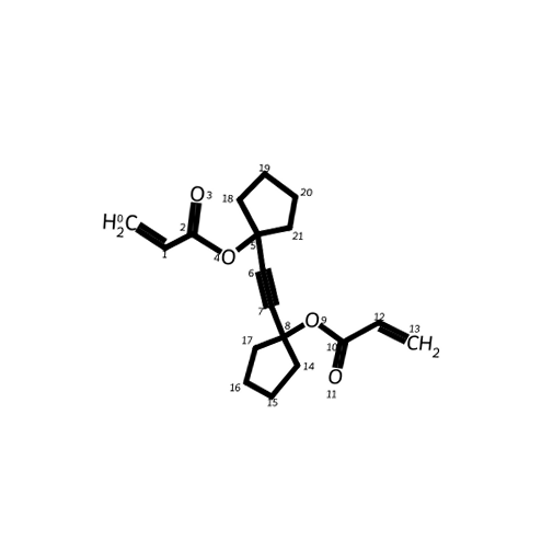 C=CC(=O)OC1(C#CC2(OC(=O)C=C)CCCC2)CCCC1